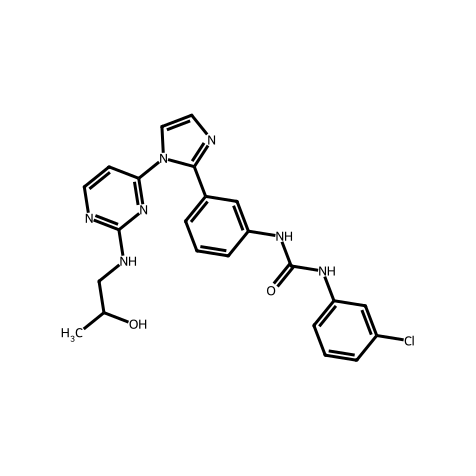 CC(O)CNc1nccc(-n2ccnc2-c2cccc(NC(=O)Nc3cccc(Cl)c3)c2)n1